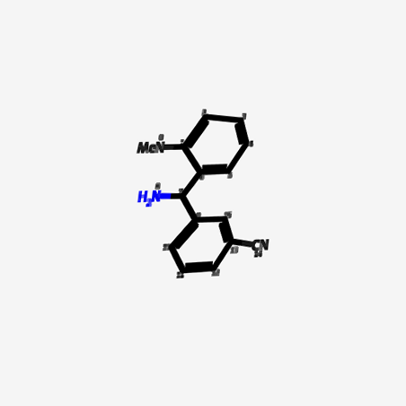 CNc1ccccc1C(N)c1cccc(C#N)c1